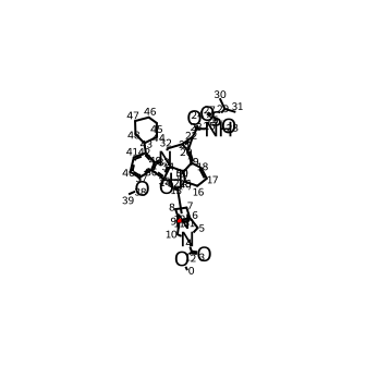 COC(=O)N1CC23CCC2(C1)CN(C(=O)[C@@H]1CC=CC2=C4C(=C4C(=O)NS(=O)(=O)C(C)C)Cn4c(cc5c(OC)ccc(C6CCCCC6)c54)[C@H]21)C3